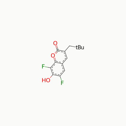 CC(C)(C)Cc1cc2cc(F)c(O)c(F)c2oc1=O